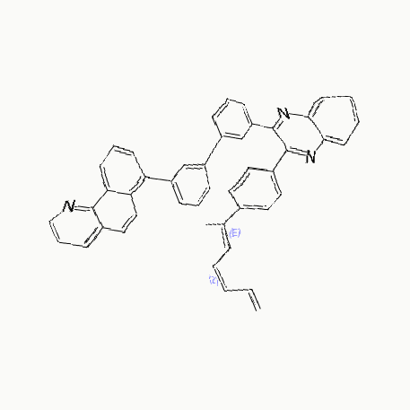 C=C/C=C\C=C(/C)c1ccc(-c2nc3ccccc3nc2-c2cccc(-c3cccc(-c4cccc5c4ccc4cccnc45)c3)c2)cc1